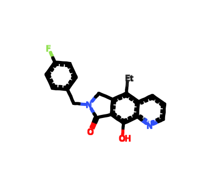 CCc1c2c(c(O)c3ncccc13)C(=O)N(Cc1ccc(F)cc1)C2